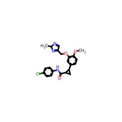 COc1ccc(C2CC2C(=O)Nc2ccc(Cl)cc2)cc1OCC1=NC(C)N=C1